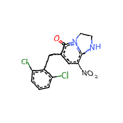 O=c1c(Cc2c(Cl)cccc2Cl)cc([N+](=O)[O-])c2n1CCN2